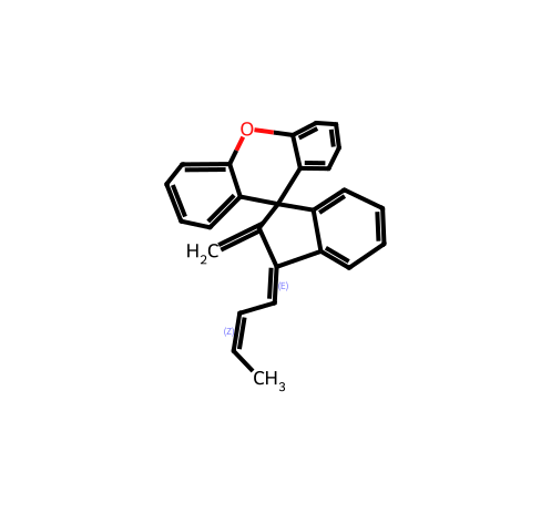 C=C1/C(=C\C=C/C)c2ccccc2C12c1ccccc1Oc1ccccc12